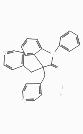 Cl.Cl.O=C1N(c2ccccc2)c2ccccc2C1(Cc1ccncc1)Cc1ccncc1